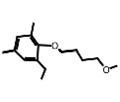 CCc1cc(C)cc(C)c1OCCCCOC